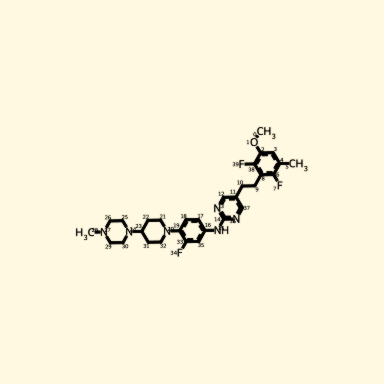 COc1cc(C)c(F)c(CCc2cnc(Nc3ccc(N4CCC(N5CCN(C)CC5)CC4)c(F)c3)nc2)c1F